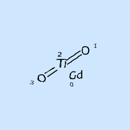 [Gd].[O]=[Ti]=[O]